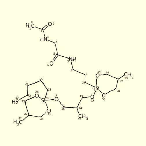 CC(=O)NCC(=O)NCCC[Si]1(OCC(C)CO[Si]2(CCCCS)OCC(C)CO2)OCC(C)CO1